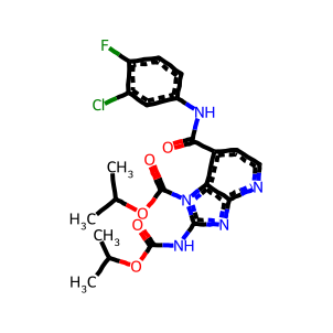 CC(C)OC(=O)Nc1nc2nccc(C(=O)Nc3ccc(F)c(Cl)c3)c2n1C(=O)OC(C)C